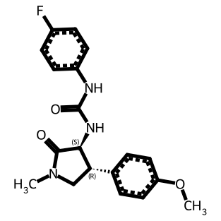 COc1ccc([C@@H]2CN(C)C(=O)[C@H]2NC(=O)Nc2ccc(F)cc2)cc1